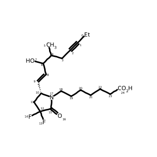 CCC#CCC(C)C(O)C=C[C@H]1CC(F)(F)C(=O)N1CCCCCCC(=O)O